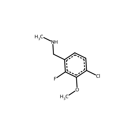 CNCc1ccc(Cl)c(OC)c1F